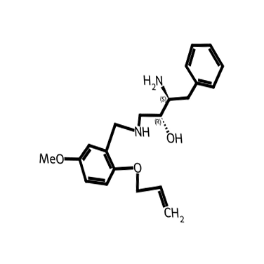 C=CCOc1ccc(OC)cc1CNC[C@@H](O)[C@@H](N)Cc1ccccc1